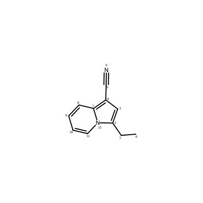 CCc1cc(C#N)c2ccccn12